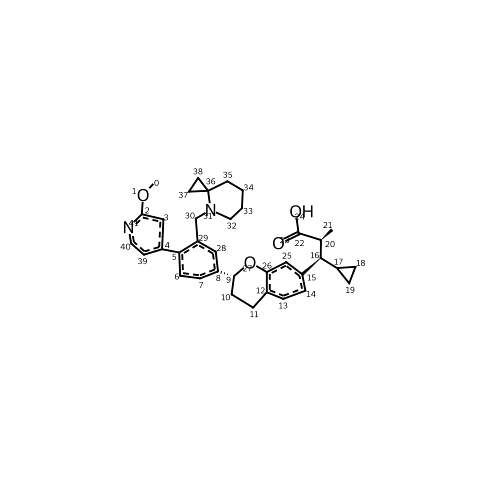 COc1cc(-c2ccc([C@H]3CCc4ccc([C@H](C5CC5)[C@H](C)C(=O)O)cc4O3)cc2CN2CCCCC23CC3)ccn1